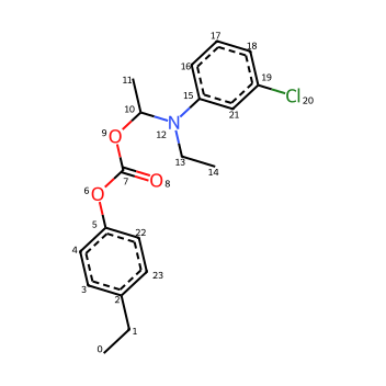 CCc1ccc(OC(=O)OC(C)N(CC)c2cccc(Cl)c2)cc1